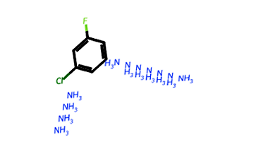 Fc1cccc(Cl)c1.N.N.N.N.N.N.N.N.N.N.N